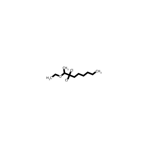 CCCCCCC(Cl)(Cl)C(C)OCC